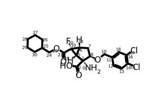 N[C@]1(C(=O)O)[C@H]2[C@@H](C[C@H]1OCc1ccc(Cl)c(Cl)c1)[C@]2(F)C(=O)OCC1CCCCC1